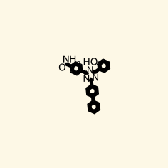 NC(=O)c1ccc(-c2nc(-c3ccc(-c4ccccc4)cc3)nc(-c3ccccc3O)n2)cc1